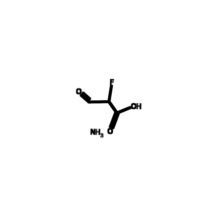 N.O=CC(F)C(=O)O